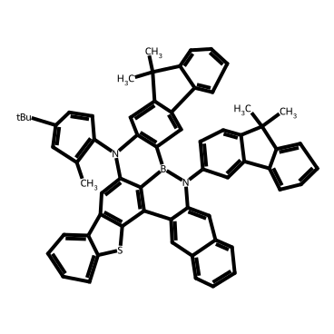 Cc1cc(C(C)(C)C)ccc1N1c2cc3c(cc2B2c4c1cc1c(sc5ccccc51)c4-c1cc4ccccc4cc1N2c1ccc2c(c1)-c1ccccc1C2(C)C)-c1ccccc1C3(C)C